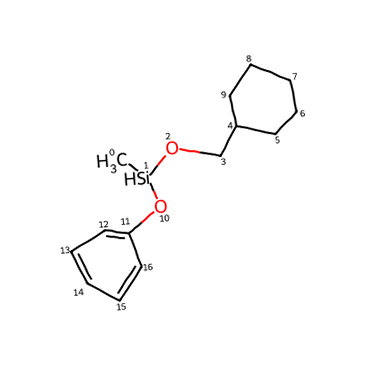 C[SiH](OCC1CCCCC1)Oc1ccccc1